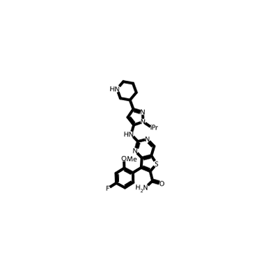 COc1cc(F)ccc1-c1c(C(N)=O)sc2cnc(Nc3cc(C4CCCNC4)nn3C(C)C)nc12